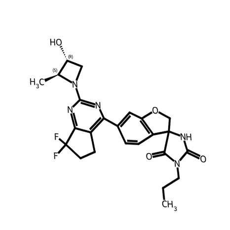 CCCN1C(=O)NC2(COc3cc(-c4nc(N5C[C@@H](O)[C@@H]5C)nc5c4CCC5(F)F)ccc32)C1=O